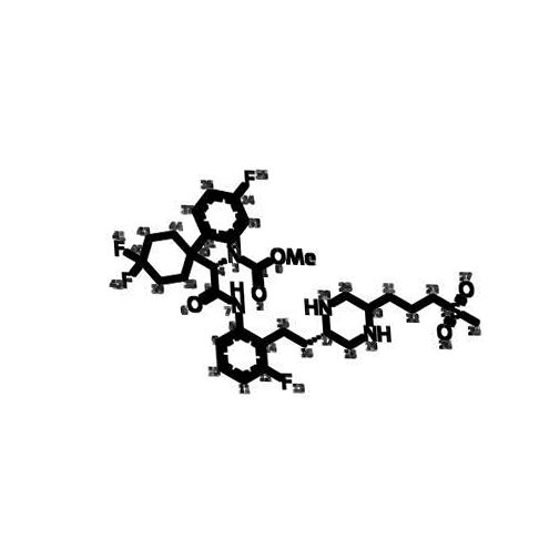 COC(=O)N[C@H](C(=O)Nc1cccc(F)c1CC[C@H]1CNC(CCCS(C)(=O)=O)CN1)C1(c2ccc(F)cc2)CCC(F)(F)CC1